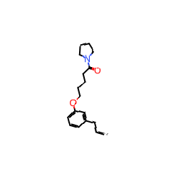 [CH2]CCc1cccc(OCCCCC(=O)N2CCCC2)c1